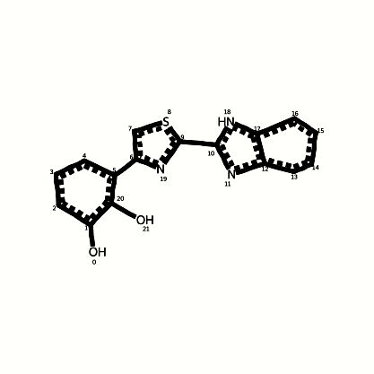 Oc1cccc(-c2csc(-c3nc4ccccc4[nH]3)n2)c1O